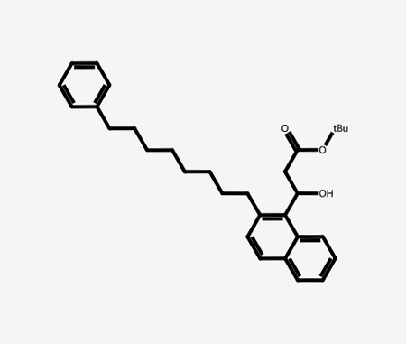 CC(C)(C)OC(=O)CC(O)c1c(CCCCCCCCc2ccccc2)ccc2ccccc12